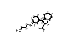 CC(C)c1nn2ccccc2c1-c1ccnc(NCCCO)n1